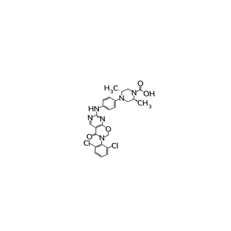 C[C@@H]1CN(C(=O)O)[C@@H](C)CN1c1ccc(Nc2ncc3c(n2)OCN(c2c(Cl)cccc2Cl)C3=O)cc1